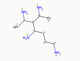 CCCC(N)C(C(N)CC)C(N)CCCN